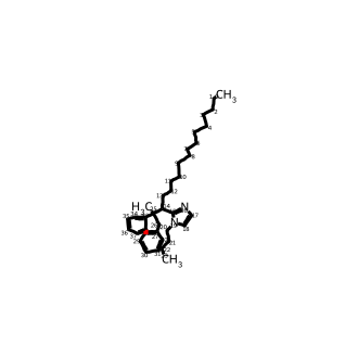 CCCCCCCCCCCCCCC(c1nccn1CCCC)C(C)(Cc1ccccc1)c1ccccc1